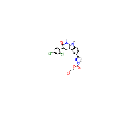 COCCOC(=O)n1ccc(-c2ccc3c(c2)c2cc(-c4ccc(Cl)cc4Cl)c(=O)n(C)c2n3C)n1